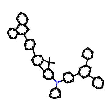 CC1(C)c2cc(-c3ccc(-c4cc5ccccc5c5ccccc45)cc3)ccc2-c2ccc(N(c3ccccc3)c3ccc(-c4cc(-c5ccccc5)cc(-c5ccccc5)c4)cc3)cc21